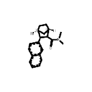 CN(C)C(=O)C1C(c2ccc3ccccc3c2)[C@H]2CC[C@H]1C2